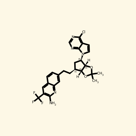 CC1(C)O[C@@H]2[C@@H](CCc3ccc4cc(C(F)(F)F)c(N)nc4c3)C[C@@H](n3ccc4c(Cl)ncnc43)[C@@H]2O1